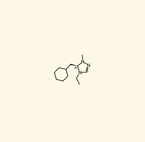 CCN1[C]=NN(C)[C@@H]1CC1CCCCC1